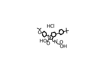 CC(C)Oc1ccc(-n2c(C(=O)O)c(CN(C)CC(=O)O)c3cc(-c4ccc(C(C)(C)C)cc4)ccc32)cc1.Cl